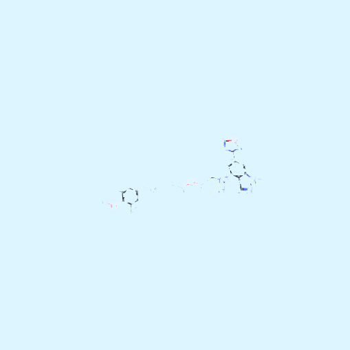 Fc1cc(CNCCCCOCCNc2cc(-c3ncon3)cc3[nH]ncc23)cc(F)c1OC(F)(F)F